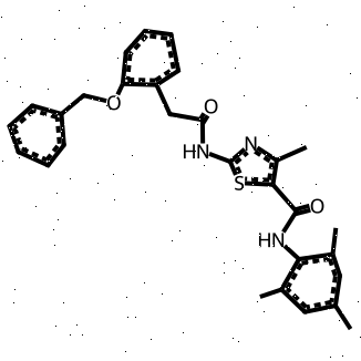 Cc1cc(C)c(NC(=O)c2sc(NC(=O)Cc3ccccc3OCc3ccccc3)nc2C)c(C)c1